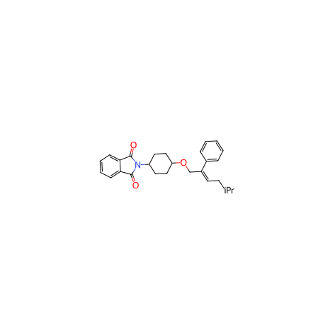 CC(C)CC=C(COC1CCC(N2C(=O)c3ccccc3C2=O)CC1)c1ccccc1